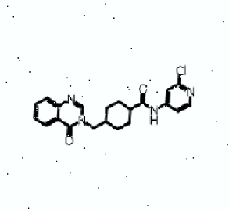 O=C(Nc1ccnc(Cl)c1)C1CCC(Cn2cnc3ccccc3c2=O)CC1